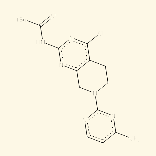 CC(C)(C)C(=O)Nc1nc(Cl)c2c(n1)CN(c1nccc(C(F)(F)F)n1)CC2